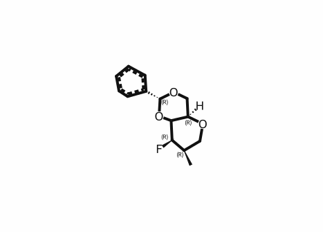 C[C@@H]1CO[C@@H]2CO[C@@H](c3ccccc3)OC2[C@@H]1F